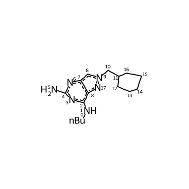 CCCCNc1nc(N)nc2cn(CC3CCCCC3)nc12